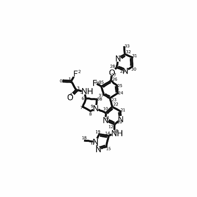 C=C(F)C(=O)NC1CCN(c2nc(Nc3cnn(C)c3)ncc2-c2ccc(Oc3nccc(C)n3)c(F)c2)C1